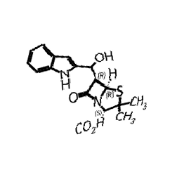 CC1(C)S[C@@H]2[C@H](C(O)c3cc4ccccc4[nH]3)C(=O)N2[C@H]1C(=O)O